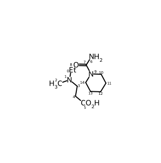 CCN(C)CCC(=O)O.NC(=O)N1CCCCC1